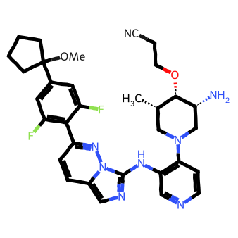 COC1(c2cc(F)c(-c3ccc4cnc(Nc5cnccc5N5C[C@@H](N)[C@@H](OCCC#N)[C@@H](C)C5)n4n3)c(F)c2)CCCC1